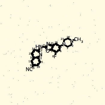 CN1CCN(c2cc(F)c3oc(Nc4ccc5cc(C#N)ccc5n4)nc3c2)CC1